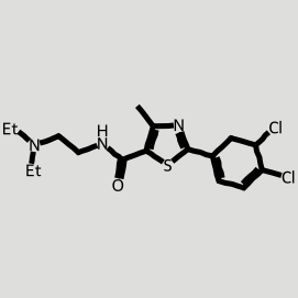 CCN(CC)CCNC(=O)c1sc(C2=CC=C(Cl)C(Cl)C2)nc1C